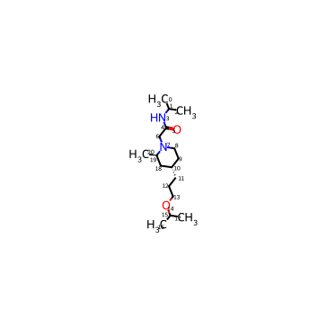 CC(C)NC(=O)CN1CC[C@H](CCCOC(C)C)C[C@H]1C